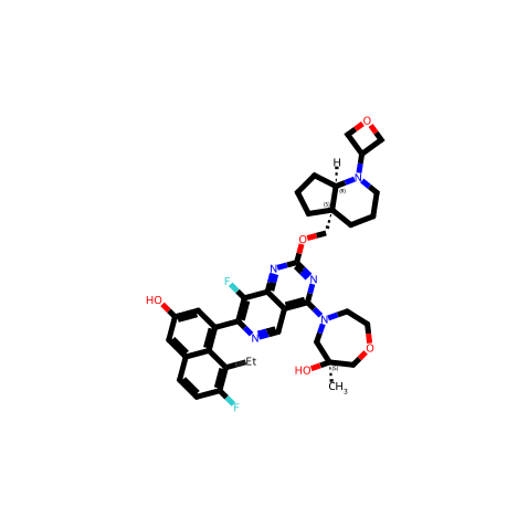 CCc1c(F)ccc2cc(O)cc(-c3ncc4c(N5CCOC[C@@](C)(O)C5)nc(OC[C@]56CCC[C@H]5N(C5COC5)CCC6)nc4c3F)c12